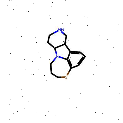 c1cc2c3c(c1)C1CNCCC1N3CCCS2